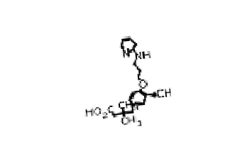 C#Cc1cc(CC(C)(C)CC(=O)O)ccc1OCCCNc1ccccn1